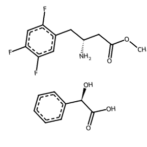 COC(=O)C[C@H](N)Cc1cc(F)c(F)cc1F.O=C(O)[C@H](O)c1ccccc1